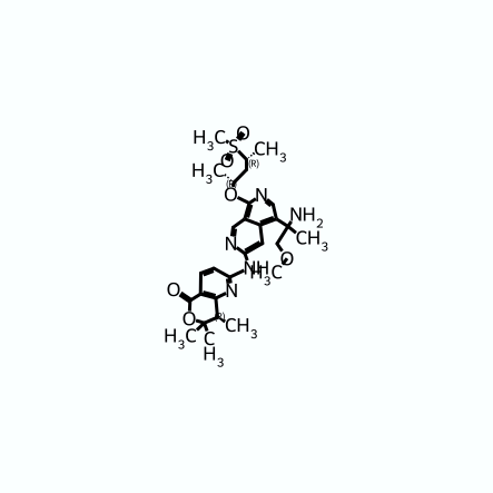 COCC(C)(N)c1cnc(O[C@H](C)C[C@@H](C)S(C)(=O)=O)c2cnc(Nc3ccc4c(n3)[C@@H](C)C(C)(C)OC4=O)cc12